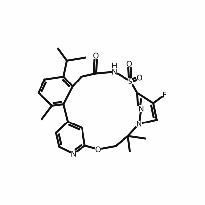 Cc1ccc(C(C)C)c2c1-c1ccnc(c1)OCC(C)(C)n1cc(F)c(n1)S(=O)(=O)NC(=O)C2